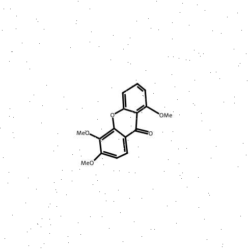 COc1ccc2c(=O)c3c(OC)cccc3oc2c1OC